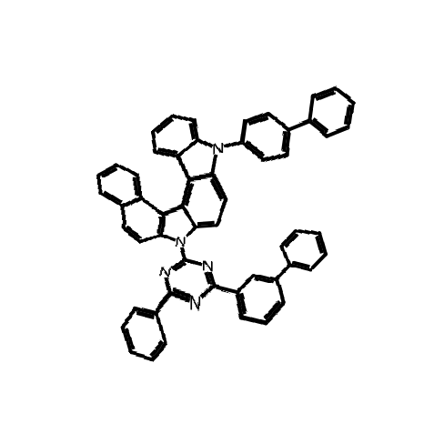 c1ccc(-c2ccc(-n3c4ccccc4c4c5c6c7ccccc7ccc6n(-c6nc(-c7ccccc7)nc(-c7cccc(-c8ccccc8)c7)n6)c5ccc43)cc2)cc1